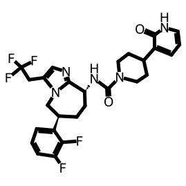 O=C(N[C@@H]1CC[C@@H](c2cccc(F)c2F)Cn2c(CC(F)(F)F)cnc21)N1CCC(c2ccc[nH]c2=O)CC1